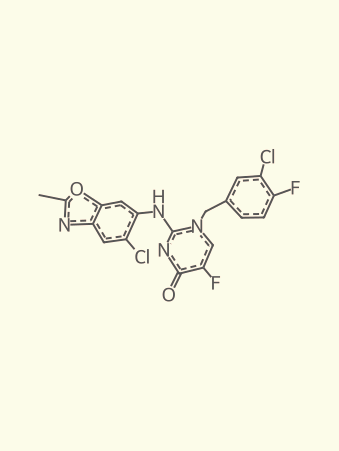 Cc1nc2cc(Cl)c(Nc3nc(=O)c(F)cn3Cc3ccc(F)c(Cl)c3)cc2o1